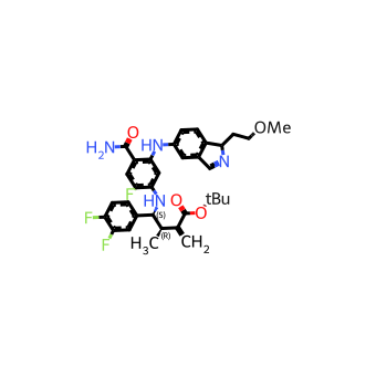 C=C(C(=O)OC(C)(C)C)[C@@H](C)[C@H](Nc1cc(Nc2ccc3c(c2)C=NC3CCOC)c(C(N)=O)cc1F)c1ccc(F)c(F)c1